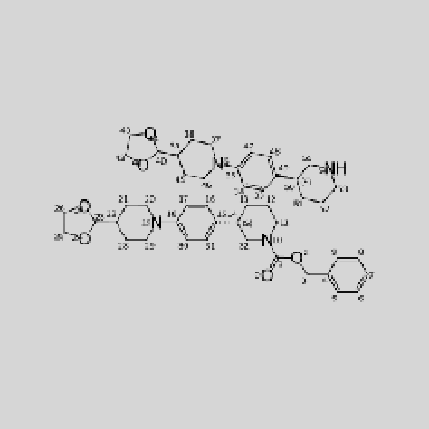 O=C(OCc1ccccc1)N1CCC[C@@H](c2ccc(N3CCC(C4OCCO4)CC3)cc2)C1.c1cc(N2CCC(C3OCCO3)CC2)ccc1[C@@H]1CCCNC1